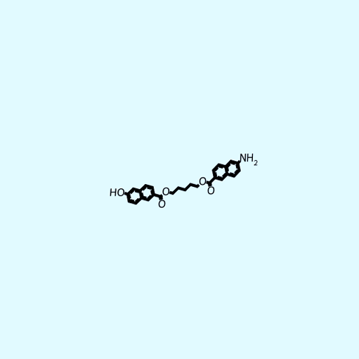 Nc1ccc2cc(C(=O)OCCCCCOC(=O)c3ccc4cc(O)ccc4c3)ccc2c1